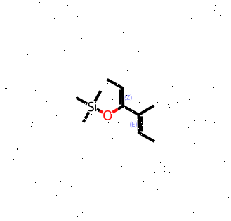 C/C=C(O[Si](C)(C)C)/C(C)=C/C